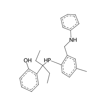 CCC(CC)(Pc1ccc(C)cc1CNc1ccccc1)c1ccccc1O